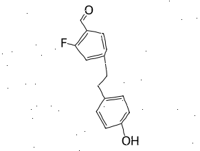 O=Cc1ccc(CCc2ccc(O)cc2)cc1F